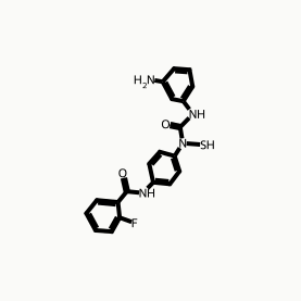 Nc1cccc(NC(=O)N(S)c2ccc(NC(=O)c3ccccc3F)cc2)c1